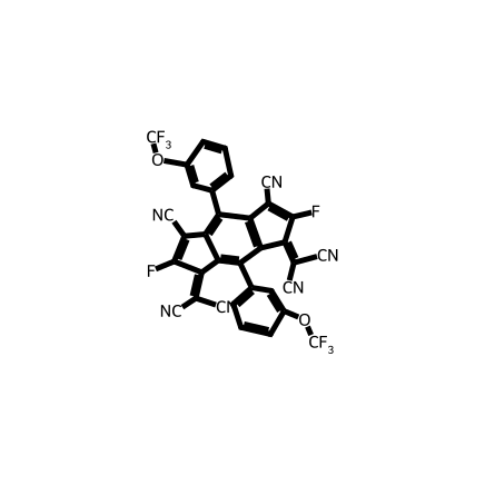 N#CC(C#N)=C1C(F)=C(C#N)c2c1c(-c1cccc(OC(F)(F)F)c1)c1c(c2-c2cccc(OC(F)(F)F)c2)C(C#N)=C(F)C1=C(C#N)C#N